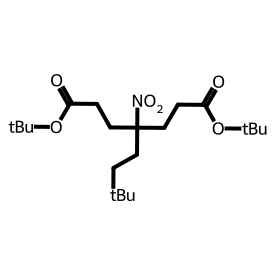 CC(C)(C)CCC(CCC(=O)OC(C)(C)C)(CCC(=O)OC(C)(C)C)[N+](=O)[O-]